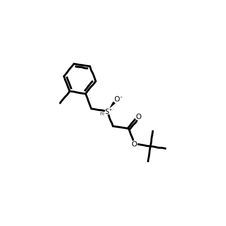 Cc1ccccc1C[S@@+]([O-])CC(=O)OC(C)(C)C